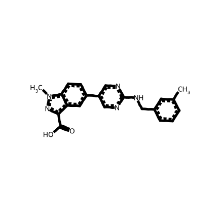 Cc1cccc(CNc2ncc(-c3ccc4c(c3)c(C(=O)O)nn4C)cn2)c1